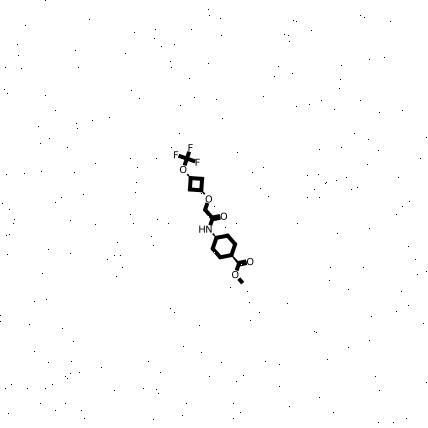 COC(=O)[C@H]1CC[C@H](NC(=O)CO[C@H]2C[C@@H](OC(F)(F)F)C2)CC1